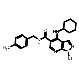 CCn1ncc2c(NC3CCCCC3)c(C(=O)NCc3ccc(C)cc3)cnc21